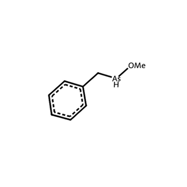 CO[AsH]Cc1ccccc1